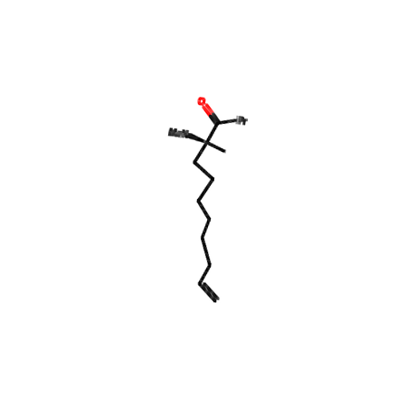 C=CCCCCCC[C@](C)(NC)C(=O)C(C)C